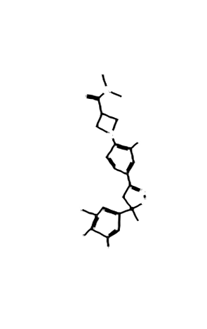 CN(C)C(=O)C1CN(c2ccc(C3=NOC(C)(c4cc(Cl)c(Cl)c(Cl)c4)C3)cc2Cl)C1